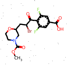 COC(=O)N1CCOC(CC(Br)C(=O)c2c(F)cc(C(=O)O)cc2F)C1